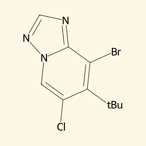 CC(C)(C)c1c(Cl)cn2ncnc2c1Br